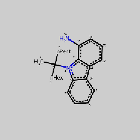 CCCCCCC(C)(CCCCC)n1c2ccccc2c2cccc(N)c21